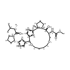 COC(=O)N[C@H]1COCCCCOC(c2c[nH]c([C@@H]3CCCN3C(=O)[C@@H](C)C(C)C)n2)c2c[nH]c(n2)[C@@H]2CCCN2C1=O